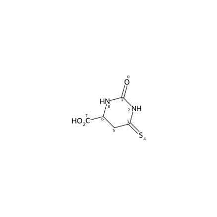 O=C1NC(=S)CC(C(=O)O)N1